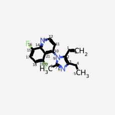 C=Cc1c(CC)nc(C)n1-c1ccnc2c(F)ccc(F)c12